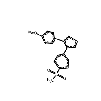 COc1ccc(-c2cscc2-c2ccc(S(C)(=O)=O)cc2)cn1